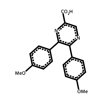 COc1ccc(-c2ncc(C(=O)O)nc2-c2ccc(OC)cc2)cc1